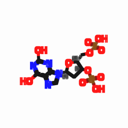 O=S(=O)(O)OC[C@H]1O[C@@H](n2cnc3c(O)nc(O)nc32)C[C@@H]1OS(=O)(=O)O